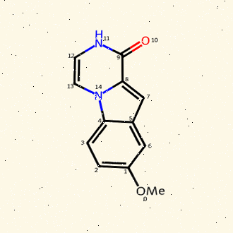 COc1ccc2c(c1)cc1c(=O)[nH]ccn12